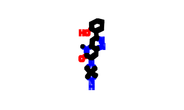 Cn1c(=O)c(N2CC3(CNC3)C2)cc2nnc(-c3ccccc3O)cc21